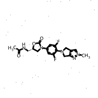 CC(=O)NC[C@H]1CN(c2cc(F)c(N3Cc4cn(C)nc4C3)c(F)c2)C(=O)O1